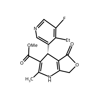 CCc1c(F)cncc1[C@H]1C(C(=O)OC)=C(C)NC2=C1C(=O)OC2